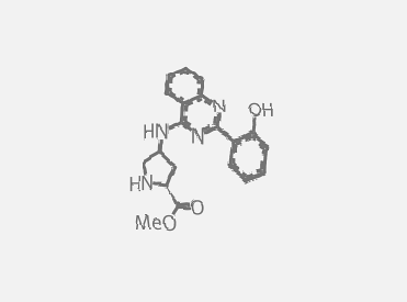 COC(=O)[C@@H]1CC(Nc2nc(-c3ccccc3O)nc3ccccc23)CN1